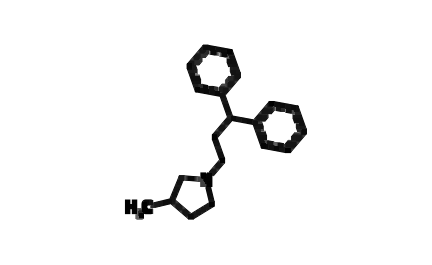 CC1CCN(CCC(c2ccccc2)c2ccccc2)C1